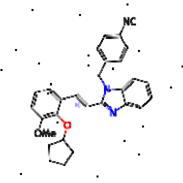 [C-]#[N+]c1ccc(Cn2c(/C=C/c3cccc(OC)c3OC3CCCC3)nc3ccccc32)cc1